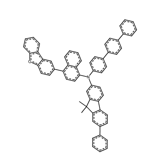 CC1(C)c2cc(-c3ccccc3)ccc2-c2ccc(N(c3ccc(-c4ccc(-c5ccccc5)cc4)cc3)c3ccc(-c4ccc5oc6ccccc6c5c4)c4ccccc34)cc21